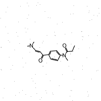 CCC(=O)N(C)c1ccc(C(=O)/C=C/N(C)C)cc1